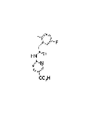 Cc1ccc(F)cc1CC(=O)Nc1ccc(C(=O)O)cn1